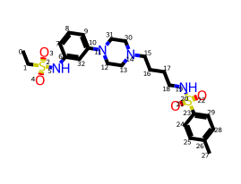 CCS(=O)(=O)Nc1cccc(N2CCN(CCCCNS(=O)(=O)c3ccc(C)cc3)CC2)c1